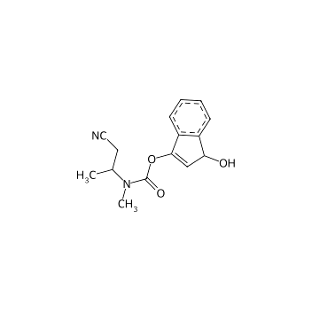 CC(CC#N)N(C)C(=O)OC1=CC(O)c2ccccc21